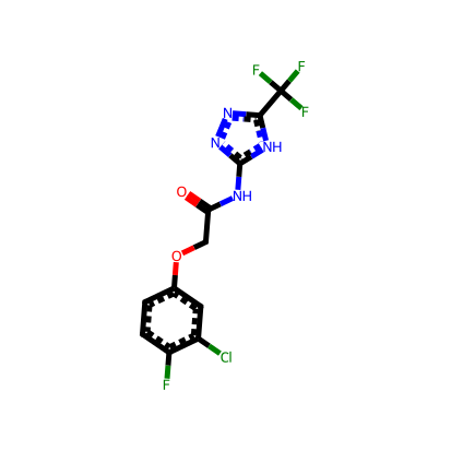 O=C(COc1ccc(F)c(Cl)c1)Nc1nnc(C(F)(F)F)[nH]1